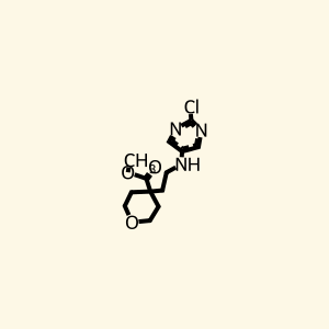 COC(=O)C1(CCNc2cnc(Cl)nc2)CCOCC1